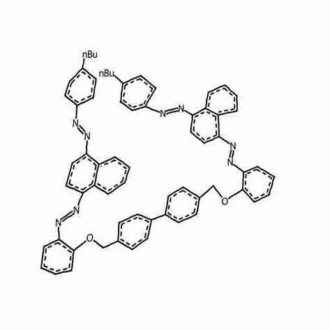 CCCCc1ccc(N=Nc2ccc(N=Nc3ccccc3OCc3ccc(-c4ccc(COc5ccccc5N=Nc5ccc(N=Nc6ccc(CCCC)cc6)c6ccccc56)cc4)cc3)c3ccccc23)cc1